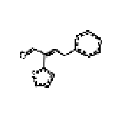 O=CC(=CCc1ccccc1)c1cccs1